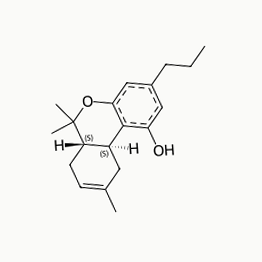 CCCc1cc(O)c2c(c1)OC(C)(C)[C@H]1CC=C(C)C[C@H]21